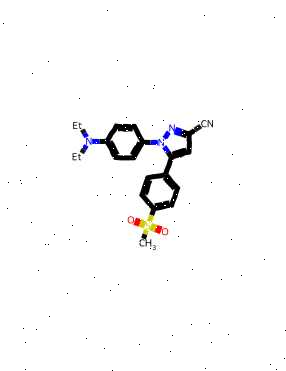 CCN(CC)c1ccc(-n2nc(C#N)cc2-c2ccc(S(C)(=O)=O)cc2)cc1